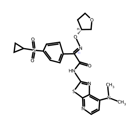 CN(C)c1ccnc2sc(NC(=O)/C(=N/O[C@@H]3CCOC3)c3ccc(S(=O)(=O)C4CC4)cc3)nc12